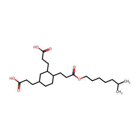 CC(C)CCCCCOC(=O)CCC1CCC(CCC(=O)O)CC1CCC(=O)O